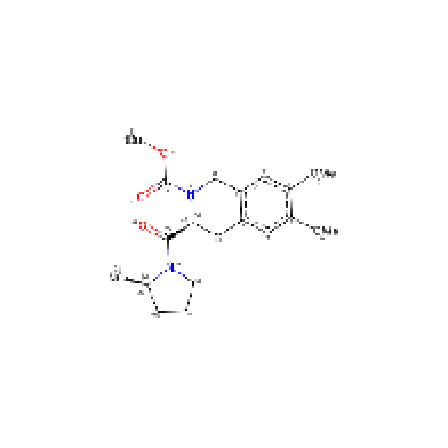 COc1cc2c(cc1OC)CN(C(=O)OC(C)(C)C)[C@H](C(=O)N1CCC[C@H]1C#N)C2